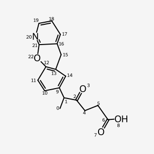 CC(C(=O)CCC(=O)O)c1ccc2c(c1)Cc1cccnc1O2